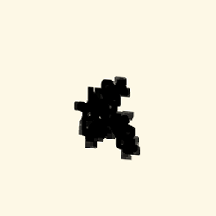 C=CC1C[C@]1(NC(=O)[C@@H]1[C@@H]2C(CN1C(=O)[C@@H](NC(=O)OC(C)(C)C)C(C)(C)C)C2(C)C)C(=O)NS(=O)(=O)C1CC1